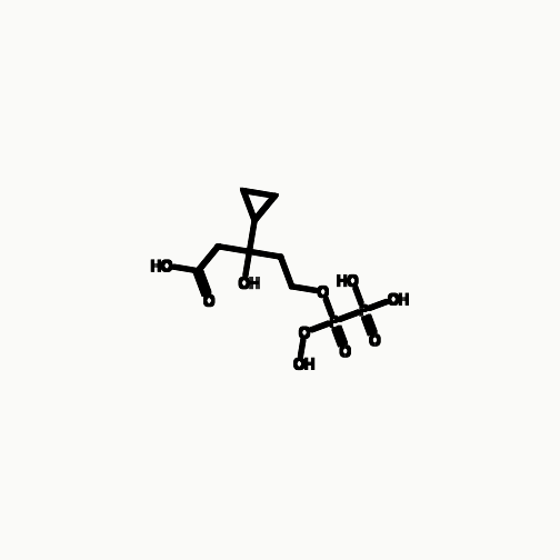 O=C(O)CC(O)(CCOP(=O)(OO)P(=O)(O)O)C1CC1